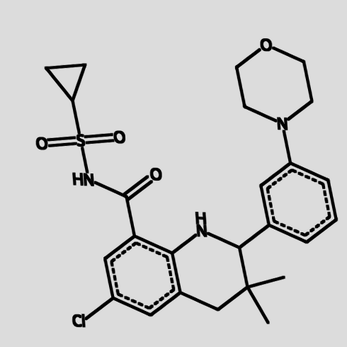 CC1(C)Cc2cc(Cl)cc(C(=O)NS(=O)(=O)C3CC3)c2NC1c1cccc(N2CCOCC2)c1